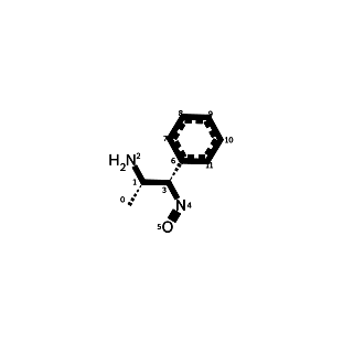 C[C@H](N)[C@@H](N=O)c1ccccc1